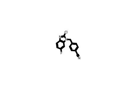 N#Cc1ccc(Cn2c(Cl)nc3ccc(F)cc32)cc1